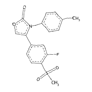 Cc1ccc(-n2c(-c3ccc(S(C)(=O)=O)c(F)c3)coc2=O)cc1